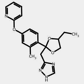 CCC1COC(Cc2nc[nH]n2)(c2ccc(Oc3ccccn3)cc2C)O1